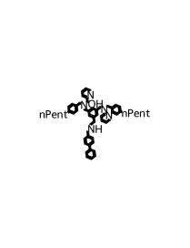 CCCCCc1ccc(CN(Cc2ccccn2)Cc2cc(CCNCc3ccc(-c4ccccc4)cc3)cc(CN(Cc3ccc(CCCCC)cc3)c3ccccn3)c2O)cc1